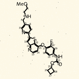 COCCNCc1ccc(-c2cc3nccc(Oc4ccc(NC(=O)OC5CCC5)cc4F)c3s2)nc1